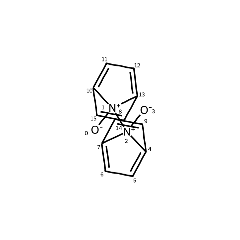 [O-][N+]1([N+]2([O-])C3=CC=C2C=C3)C2=CC=C1C=C2